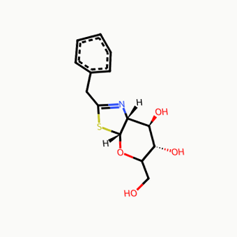 OCC1O[C@@H]2SC(Cc3ccccc3)=N[C@@H]2[C@@H](O)[C@@H]1O